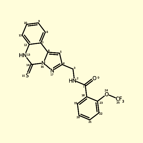 O=C(NCc1cc2c3ccccc3[nH]c(=S)n2n1)c1ccccc1OC(F)(F)F